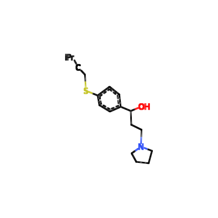 CC(C)CCSc1ccc(C(O)CCN2CCCC2)cc1